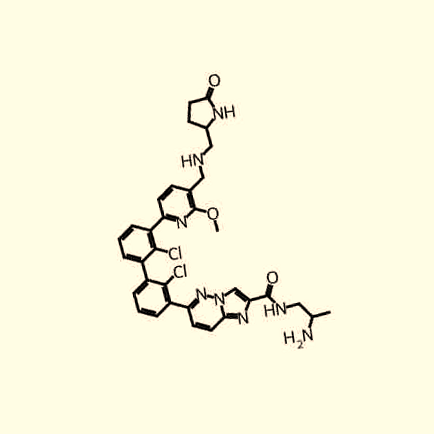 COc1nc(-c2cccc(-c3cccc(-c4ccc5nc(C(=O)NCC(C)N)cn5n4)c3Cl)c2Cl)ccc1CNCC1CCC(=O)N1